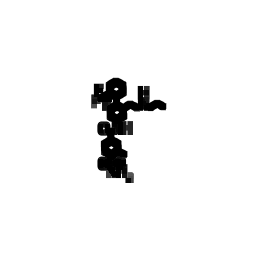 CCCNCCc1cc(NC(=O)c2ccc(S(N)(=O)=O)c(C)c2)ccc1-c1ccccc1C(F)(F)F